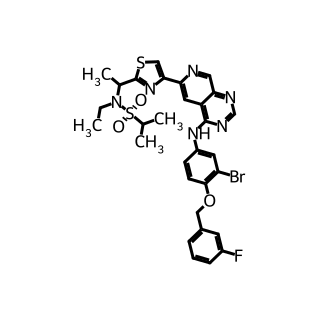 CCN(C(C)c1nc(-c2cc3c(Nc4ccc(OCc5cccc(F)c5)c(Br)c4)ncnc3cn2)cs1)S(=O)(=O)C(C)C